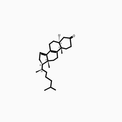 CC(C)CCC[C@@H](C)[C@H]1CC=C2C3=C(CC[C@@]21C)[C@@]1(C)CCC(=O)C[C@@H]1CC3